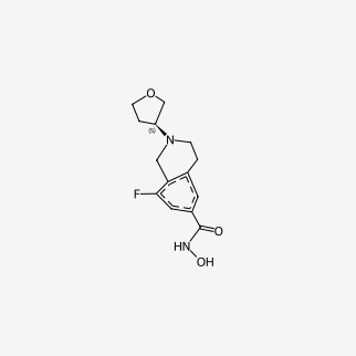 O=C(NO)c1cc(F)c2c(c1)CCN([C@H]1CCOC1)C2